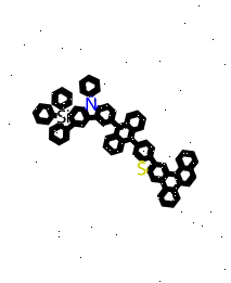 c1ccc(-n2c3ccc(-c4c5ccccc5c(-c5ccc6c(c5)sc5cc7c8ccccc8c8ccc9ccccc9c8c7cc56)c5ccccc45)cc3c3cc4c(cc32)[Si](c2ccccc2)(c2ccccc2)c2ccccc2-4)cc1